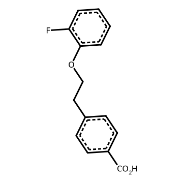 O=C(O)c1ccc(CCOc2ccccc2F)cc1